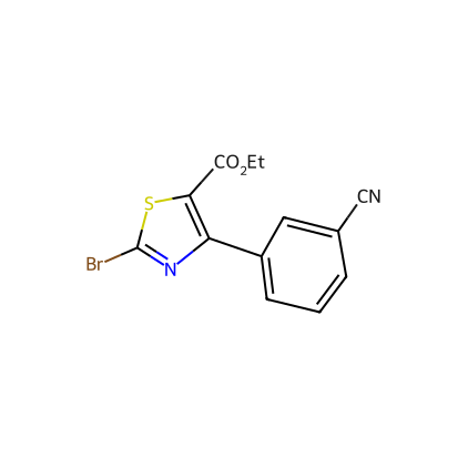 CCOC(=O)c1sc(Br)nc1-c1cccc(C#N)c1